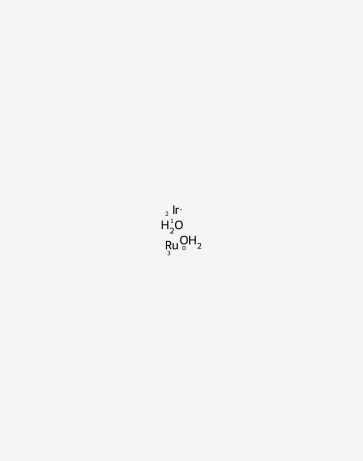 O.O.[Ir].[Ru]